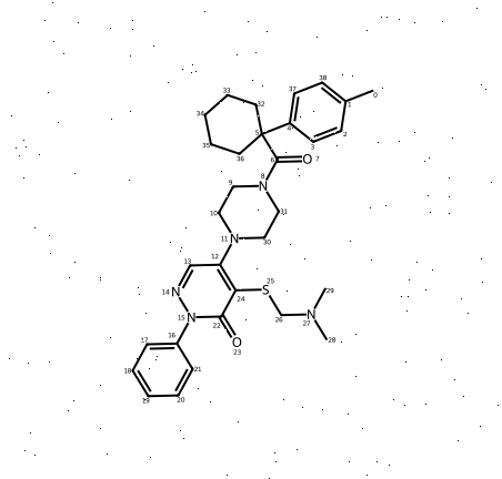 Cc1ccc(C2(C(=O)N3CCN(c4cnn(-c5ccccc5)c(=O)c4SCN(C)C)CC3)CCCCC2)cc1